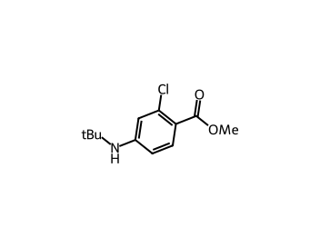 COC(=O)c1ccc(NC(C)(C)C)cc1Cl